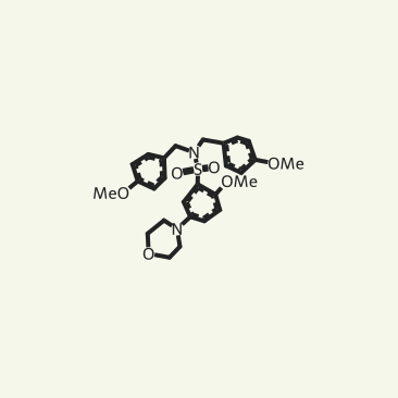 COc1ccc(CN(Cc2ccc(OC)cc2)S(=O)(=O)c2cc(N3CCOCC3)ccc2OC)cc1